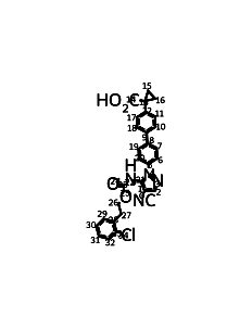 N#Cc1cnn(-c2ccc(-c3ccc(C4(C(=O)O)CC4)cc3)cc2)c1NC(=O)OCCc1ccccc1Cl